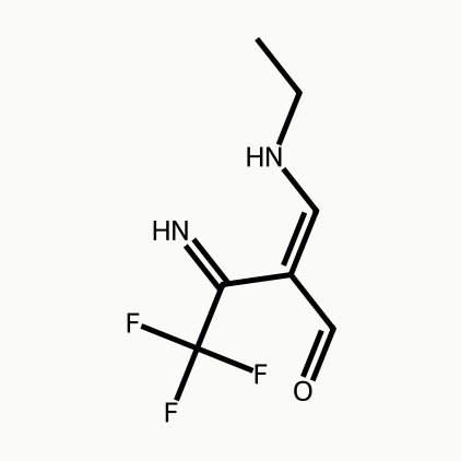 CCN/C=C(/C=O)C(=N)C(F)(F)F